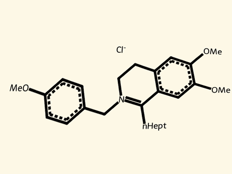 CCCCCCCC1=[N+](Cc2ccc(OC)cc2)CCc2cc(OC)c(OC)cc21.[Cl-]